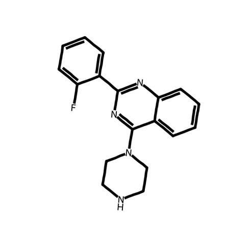 Fc1ccccc1-c1nc(N2CCNCC2)c2ccccc2n1